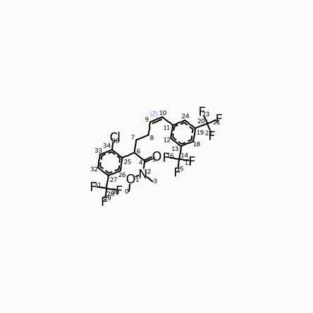 CON(C)C(=O)C(CC/C=C\c1cc(C(F)(F)F)cc(C(F)(F)F)c1)c1cc(C(F)(F)F)ccc1Cl